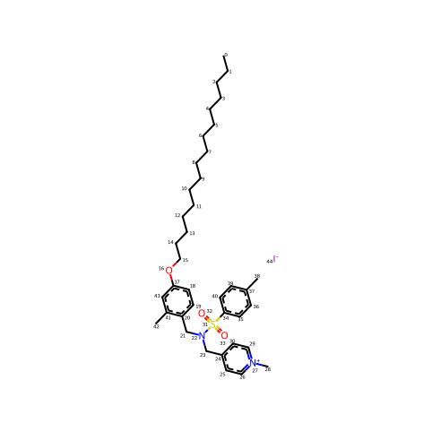 CCCCCCCCCCCCCCCCOc1ccc(CN(Cc2cc[n+](C)cc2)S(=O)(=O)c2ccc(C)cc2)c(C)c1.[I-]